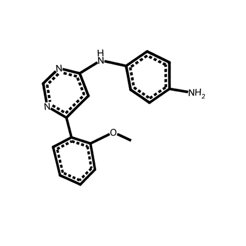 COc1ccccc1-c1cc(Nc2ccc(N)cc2)ncn1